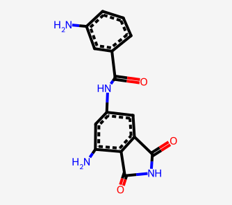 Nc1cccc(C(=O)Nc2cc(N)c3c(c2)C(=O)NC3=O)c1